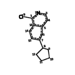 Clc1nccc2cc(C3CCCC3)ccc12